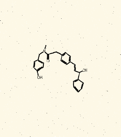 CN(Cc1ccc(O)cc1)C(=O)Cc1ccc(C=CC(O)c2ccccc2)cc1